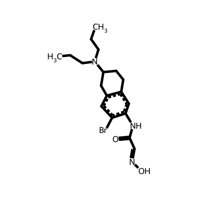 CCCN(CCC)C1CCc2cc(NC(=O)C=NO)c(Br)cc2C1